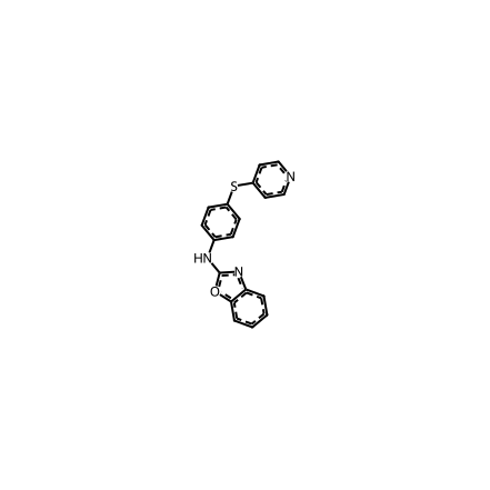 c1ccc2oc(Nc3ccc(Sc4ccncc4)cc3)nc2c1